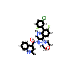 Cc1cc(C(=O)Nc2cnc3c(-c4cc(Cl)ccc4F)c(F)ccc3c2N2CCOCC2)c2ccccc2n1